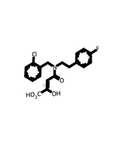 O=C(O)/C(O)=C/C(=O)N(CCc1ccc(F)cc1)Cc1ccccc1Cl